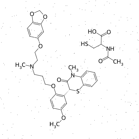 CC(=O)NC(CS)C(=O)O.COc1ccc(OCCCN(C)CCOc2ccc3c(c2)OCO3)c([C@H]2Sc3ccccc3N(C)C2=O)c1